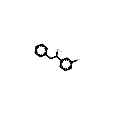 CCc1cccc(C(C)Cc2ccccc2)c1